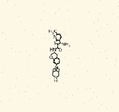 Cc1ccc2c(N)c(C(=O)N[C@H]3COc4cc(N5CC6CNCC(C5)C6(F)F)ccc4C3)sc2n1